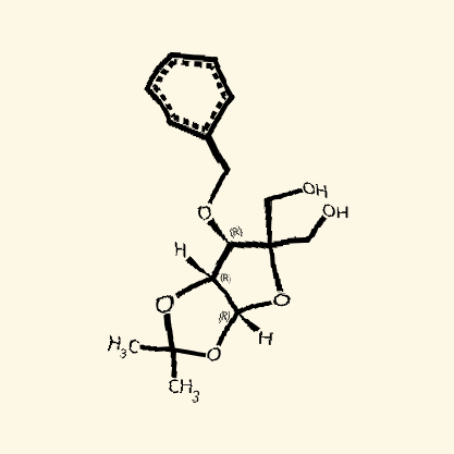 CC1(C)O[C@H]2OC(CO)(CO)[C@H](OCc3ccccc3)[C@H]2O1